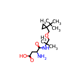 CC(C)(COCC1(C(C)(C)C)CC1)NC(=O)[C@@H](N)CC(=O)O